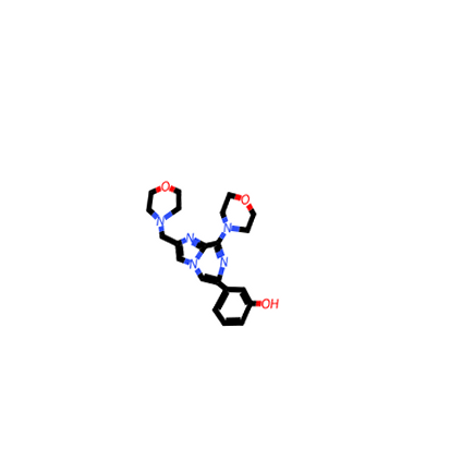 Oc1cccc(-c2cn3cc(CN4CCOCC4)nc3c(N3CCOCC3)n2)c1